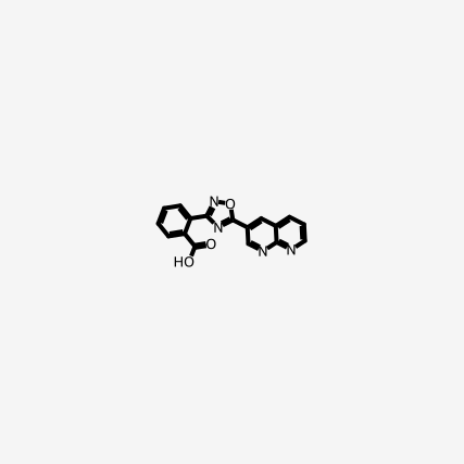 O=C(O)c1ccccc1-c1noc(-c2cnc3ncccc3c2)n1